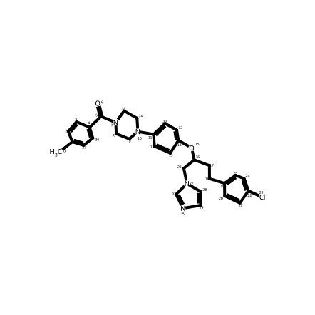 Cc1ccc(C(=O)N2CCN(c3ccc(OC(CCc4ccc(Cl)cc4)Cn4ccnc4)cc3)CC2)cc1